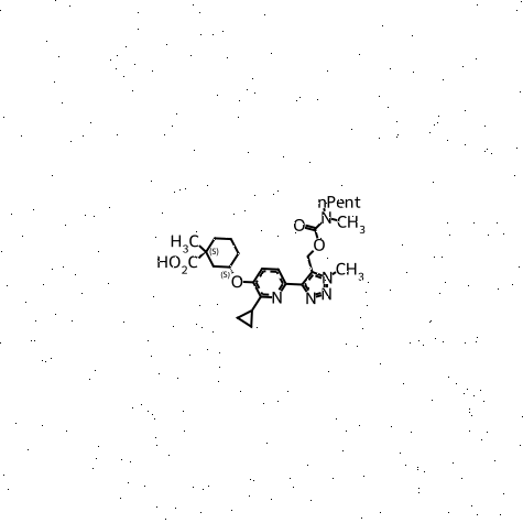 CCCCCN(C)C(=O)OCc1c(-c2ccc(O[C@H]3CCC[C@](C)(C(=O)O)C3)c(C3CC3)n2)nnn1C